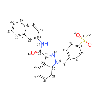 CS(=O)(=O)c1ccc(Cn2nc(C(=O)Nc3ccc4ccccc4c3)c3ccccc32)cc1